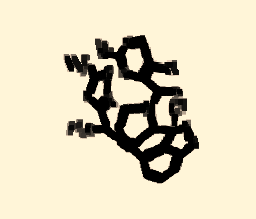 Cc1nc(C(C)C#Cc2cccc3c2[C@@](O)(C2CCCCN2C(=O)c2nc(N)ncc2Cl)N=N3)no1